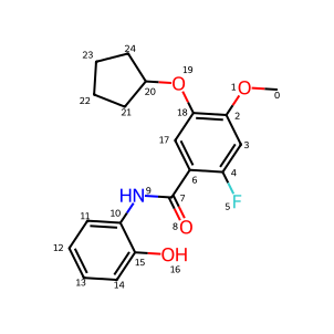 COc1cc(F)c(C(=O)Nc2ccccc2O)cc1OC1CCCC1